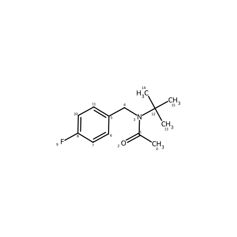 CC(=O)N(Cc1ccc(F)cc1)C(C)(C)C